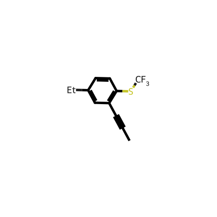 CC#Cc1cc(CC)ccc1SC(F)(F)F